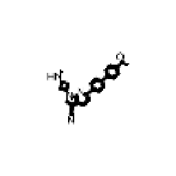 CN[C@H]1C[C@H](n2cc(C#N)c3ccc(-c4ccc(-c5ccc(C(C)=O)cc5)cc4)nc32)C1